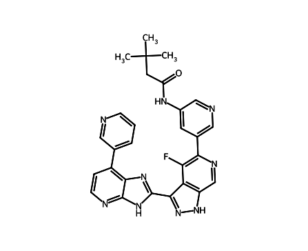 CC(C)(C)CC(=O)Nc1cncc(-c2ncc3[nH]nc(-c4nc5c(-c6cccnc6)ccnc5[nH]4)c3c2F)c1